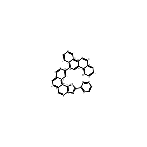 c1ccc(-c2nc3ccc4ccc5ccc(-c6cc7c8ccccc8ccc7c7ccccc67)cc5c4c3s2)cc1